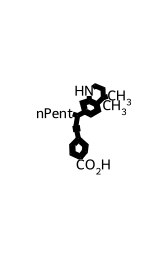 CCCCCC(C#Cc1ccc(C(=O)O)cc1)c1ccc2c(c1)NCCC2(C)C